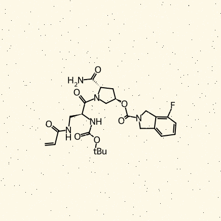 C=CC(=O)NC[C@H](NC(=O)OC(C)(C)C)C(=O)N1C[C@H](OC(=O)N2Cc3cccc(F)c3C2)C[C@H]1C(N)=O